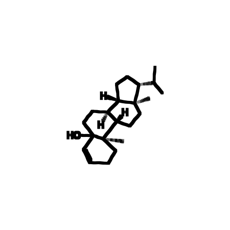 CC(C)[C@H]1CC[C@H]2[C@@H]3CCC4(O)C=CCC[C@]4(C)[C@H]3CC[C@]12C